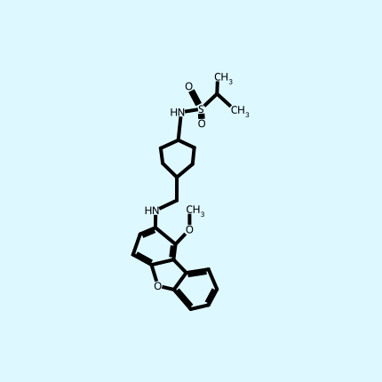 COc1c(NCC2CCC(NS(=O)(=O)C(C)C)CC2)ccc2oc3ccccc3c12